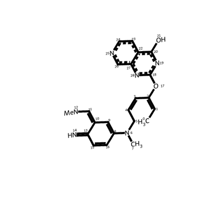 C/C=C(\C=C/CN(C)C1=C/C(=C/NC)C(=N)C=C1)Oc1nc(O)c2ccncc2n1